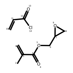 C=C(C)C(=O)OCC1CO1.C=CC(=O)Cl